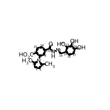 Cc1ccc(C)n1-c1cc(C(=O)N/N=C/c2ccc(O)c(O)c2O)ccc1C(=O)O